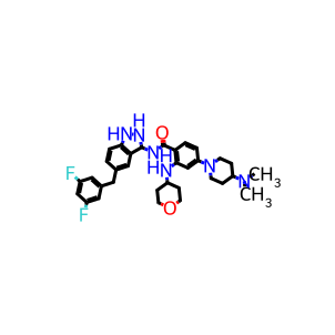 CN(C)C1CCN(c2ccc(C(=O)NC3NNc4ccc(Cc5cc(F)cc(F)c5)cc43)c(NC3CCOCC3)c2)CC1